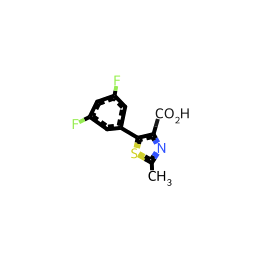 Cc1nc(C(=O)O)c(-c2cc(F)cc(F)c2)s1